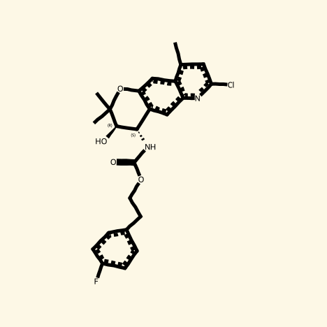 Cc1cc(Cl)nc2cc3c(cc12)OC(C)(C)[C@H](O)[C@H]3NC(=O)OCCc1ccc(F)cc1